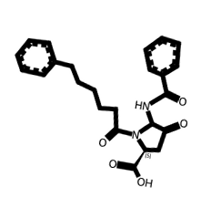 O=C(NC1C(=O)C[C@@H](C(=O)O)N1C(=O)CCCCCc1ccccc1)c1ccccc1